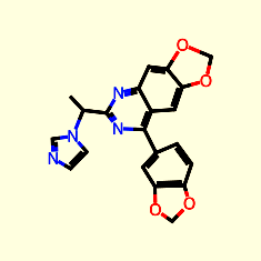 CC(c1nc(-c2ccc3c(c2)OCO3)c2cc3c(cc2n1)OCO3)n1ccnc1